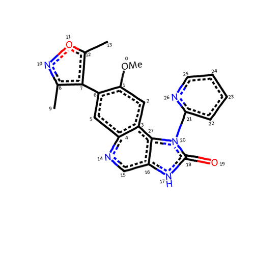 COc1cc2c(cc1-c1c(C)noc1C)ncc1[nH]c(=O)n(-c3ccccn3)c12